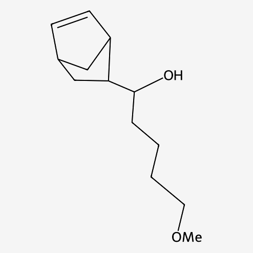 COCCCCC(O)C1CC2C=CC1C2